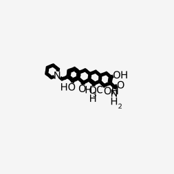 CC1(O)C(C(N)=O)=C(O)CC2CC3Cc4ccc(CN5CCCCC5)c(O)c4C(=O)C3=C(O)C21